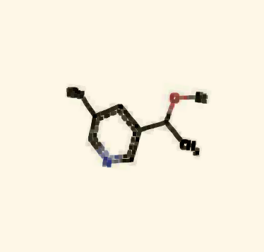 CCOC(C)c1cncc(C(C)(C)C)c1